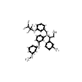 OCC(c1cccc(C(F)(F)F)c1)N(Cc1cccc(OC(F)(F)C(F)F)c1)c1cccc(Oc2cccc(OC(F)(F)F)c2)c1